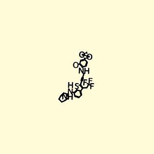 COc1cc(S(C)(=O)=O)ccc1NCC#Cc1sc2c(NC3CC4CCC(C3)N4)cccc2c1CC(F)(F)F